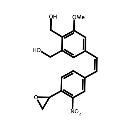 COc1cc(/C=C\c2ccc(C3CO3)c([N+](=O)[O-])c2)cc(CO)c1CO